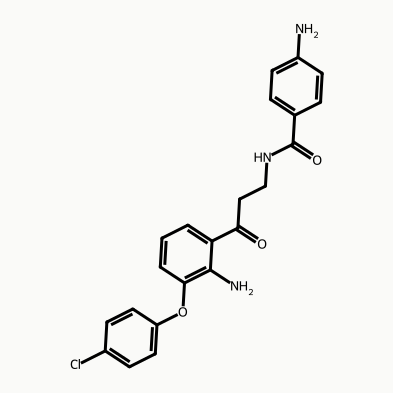 Nc1ccc(C(=O)NCCC(=O)c2cccc(Oc3ccc(Cl)cc3)c2N)cc1